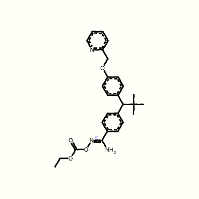 CCOC(=O)O/N=C(\N)c1ccc(C(c2ccc(OCc3ccccn3)cc2)C(C)(C)C)cc1